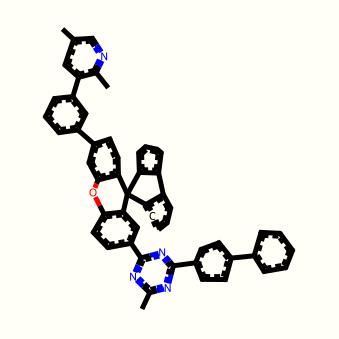 Cc1cnc(C)c(-c2cccc(-c3ccc4c(c3)Oc3ccc(-c5nc(C)nc(-c6ccc(-c7ccccc7)cc6)n5)cc3C43c4ccccc4-c4ccccc43)c2)c1